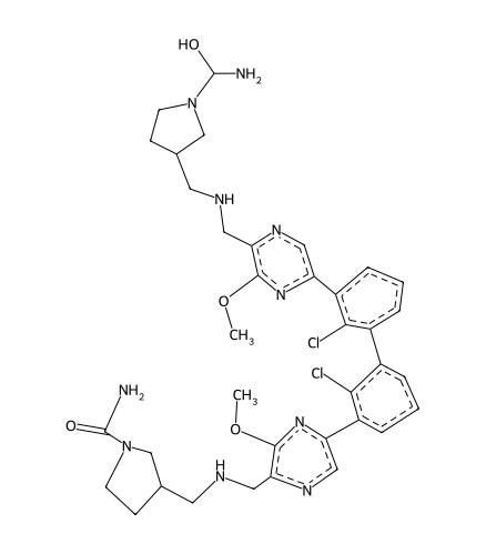 COc1nc(-c2cccc(-c3cccc(-c4cnc(CNCC5CCN(C(N)O)C5)c(OC)n4)c3Cl)c2Cl)cnc1CNCC1CCN(C(N)=O)C1